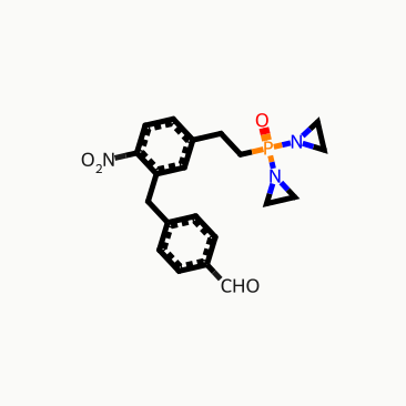 O=Cc1ccc(Cc2cc(CCP(=O)(N3CC3)N3CC3)ccc2[N+](=O)[O-])cc1